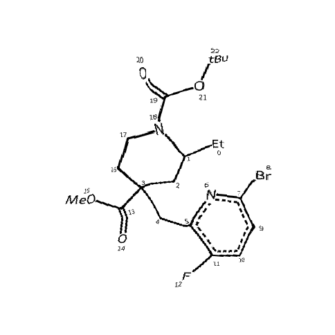 CCC1CC(Cc2nc(Br)ccc2F)(C(=O)OC)CCN1C(=O)OC(C)(C)C